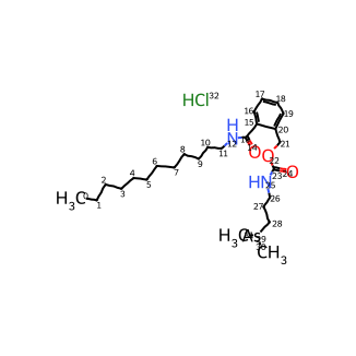 CCCCCCCCCCCCNC(=O)c1ccccc1COC(=O)NCCC[As](C)C.Cl